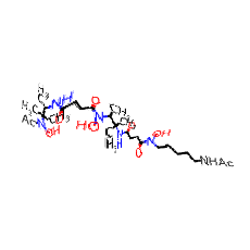 CC(=O)NCCCCCN(O)C(=O)CCC(=O)NC(C)(C)C(C)N(O)C(=O)CCC(=O)NC(C)C(C)(C)N(O)C(C)=O